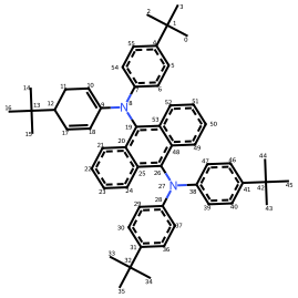 CC(C)(C)c1ccc(N(C2=CCC(C(C)(C)C)C=C2)c2c3ccccc3c(N(c3ccc(C(C)(C)C)cc3)c3ccc(C(C)(C)C)cc3)c3ccccc23)cc1